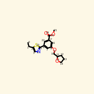 CCc1cnc(-c2cc(OCC3CCCO3)cc(C(=O)OC)c2)s1